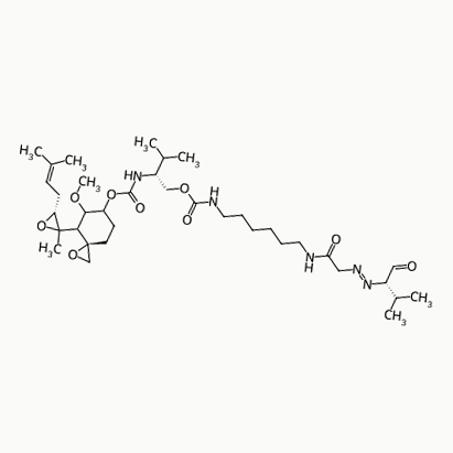 COC1C(OC(=O)N[C@@H](COC(=O)NCCCCCCNC(=O)C/N=N/[C@H](C=O)C(C)C)C(C)C)CC[C@]2(CO2)C1C1(C)O[C@@H]1CC=C(C)C